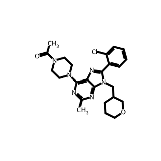 CC(=O)N1CCN(c2nc(C)nc3c2nc(-c2ccccc2Cl)n3CC2CCCOC2)CC1